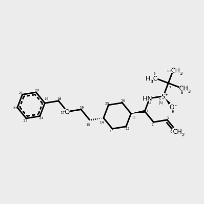 C=CCC(N[S@+]([O-])C(C)(C)C)[C@H]1CC[C@H](CCOCc2ccccc2)CC1